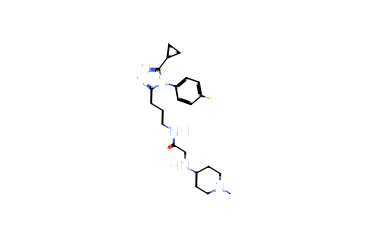 CN1CCC(NCC(=O)NCCCc2nnc(C3CC3)n2-c2ccc(F)cc2)CC1